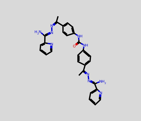 C/C(=N/N=C(\N)c1ccccn1)c1ccc(NC(=O)Nc2ccc(/C(C)=N/N=C(\N)c3ccccn3)cc2)cc1